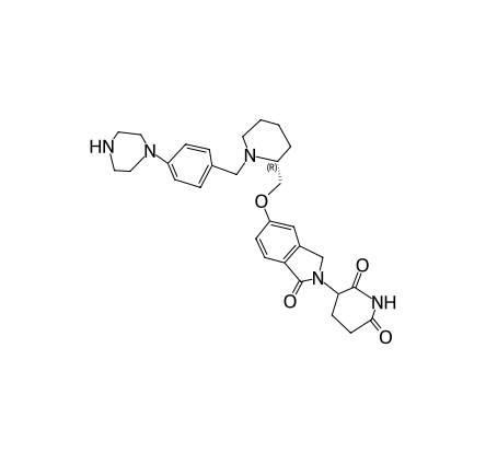 O=C1CCC(N2Cc3cc(OC[C@H]4CCCCN4Cc4ccc(N5CCNCC5)cc4)ccc3C2=O)C(=O)N1